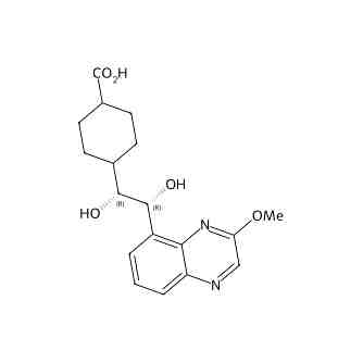 COc1cnc2cccc([C@@H](O)[C@H](O)C3CCC(C(=O)O)CC3)c2n1